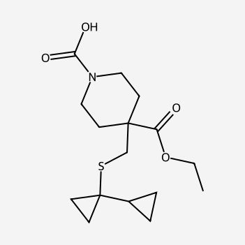 CCOC(=O)C1(CSC2(C3CC3)CC2)CCN(C(=O)O)CC1